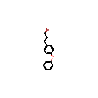 BrCCCc1ccc(Oc2ccccc2)cc1